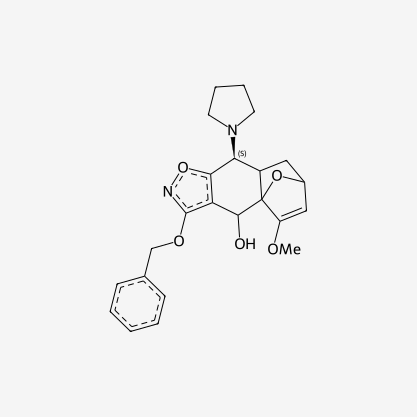 COC1=CC2CC3[C@H](N4CCCC4)c4onc(OCc5ccccc5)c4C(O)C13O2